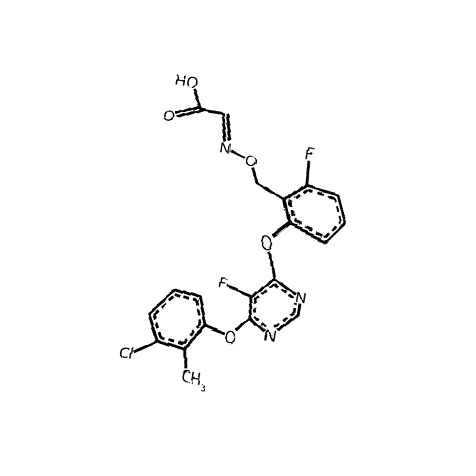 Cc1c(Cl)cccc1Oc1ncnc(Oc2cccc(F)c2CON=CC(=O)O)c1F